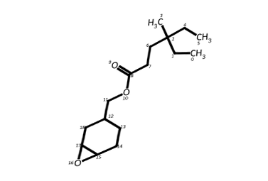 CCC(C)(CC)CCC(=O)OCC1CCC2OC2C1